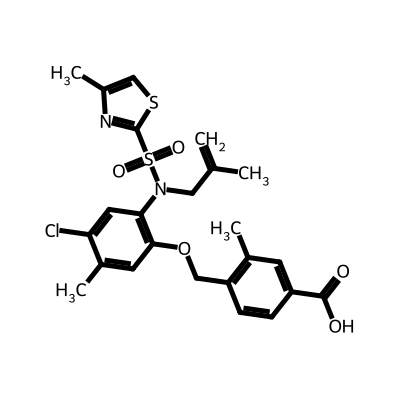 C=C(C)CN(c1cc(Cl)c(C)cc1OCc1ccc(C(=O)O)cc1C)S(=O)(=O)c1nc(C)cs1